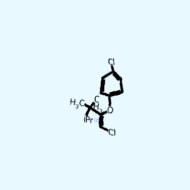 CC(C)C(C)(C)/C(=C/Cl)Oc1ccc(Cl)cc1